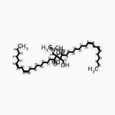 CCCCC/C=C\C/C=C\CCCCCCCC(=O)[C@](O)(CO)[C@@](O)(CN(C)C)C(=O)CCCCCCC/C=C\C/C=C\CCCCC